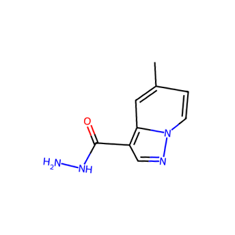 Cc1ccn2ncc(C(=O)NN)c2c1